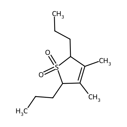 CCCC1C(C)=C(C)C(CCC)S1(=O)=O